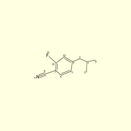 CC(C)Cc1ccc(C#N)c(F)c1